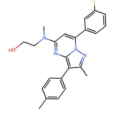 Cc1ccc(-c2c(C)nn3c(-c4cccc(F)c4)cc(N(C)CCO)nc23)cc1